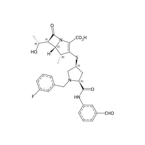 C[C@@H](O)[C@H]1C(=O)N2C(C(=O)O)=C(S[C@H]3C[C@@H](C(=O)Nc4cccc(C=O)c4)N(Cc4cccc(F)c4)C3)[C@H](C)[C@H]12